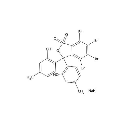 Cc1ccc(C2(c3ccc(C)cc3O)OS(=O)(=O)c3c(Br)c(Br)c(Br)c(Br)c32)c(O)c1.[NaH]